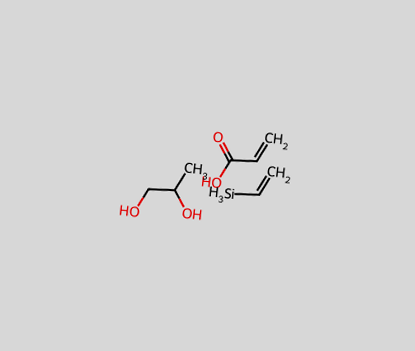 C=CC(=O)O.C=C[SiH3].CC(O)CO